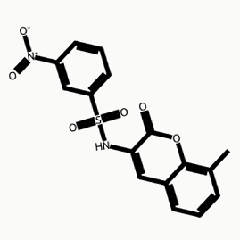 Cc1cccc2cc(NS(=O)(=O)c3cccc([N+](=O)[O-])c3)c(=O)oc12